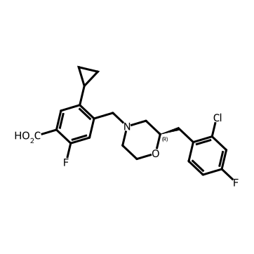 O=C(O)c1cc(C2CC2)c(CN2CCO[C@H](Cc3ccc(F)cc3Cl)C2)cc1F